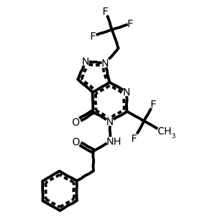 CC(F)(F)c1nc2c(cnn2CC(F)(F)F)c(=O)n1NC(=O)Cc1ccccc1